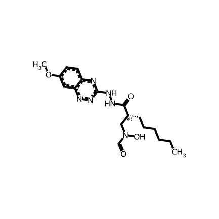 CCCCCC[C@H](CN(O)C=O)C(=O)NNc1nnc2cc(OC)ccc2n1